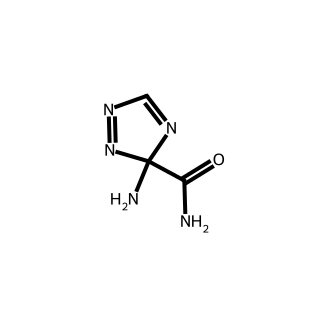 NC(=O)C1(N)N=CN=N1